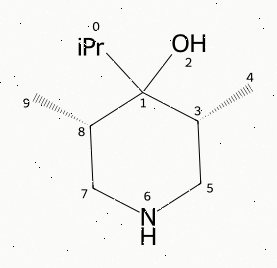 CC(C)C1(O)[C@H](C)CNC[C@@H]1C